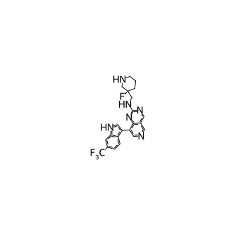 FC(F)(F)c1ccc2c(-c3cncc4cnc(NC[C@@]5(F)CCCNC5)nc34)c[nH]c2c1